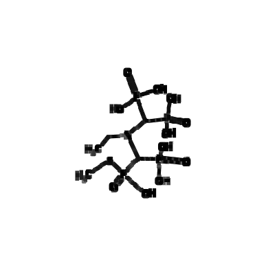 CCN(C(P(=O)(O)O)P(=O)(O)O)C(P(=O)(O)O)P(=O)(O)SC